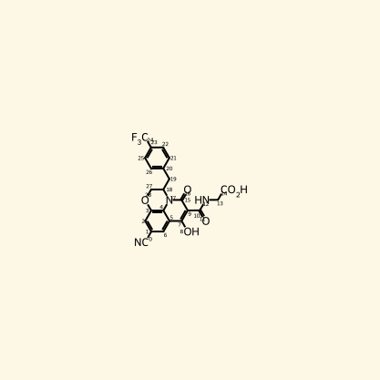 N#Cc1cc2c3c(c1)c(O)c(C(=O)NCC(=O)O)c(=O)n3C(Cc1ccc(C(F)(F)F)cc1)CO2